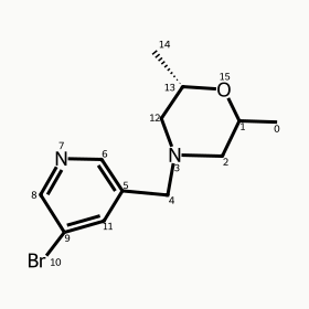 CC1CN(Cc2cncc(Br)c2)C[C@H](C)O1